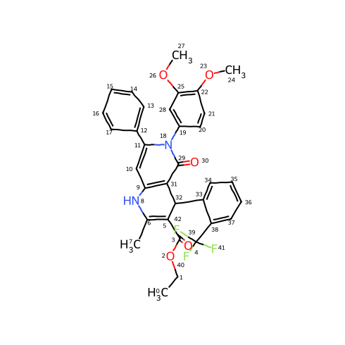 CCOC(=O)C1=C(C)Nc2cc(-c3ccccc3)n(-c3ccc(OC)c(OC)c3)c(=O)c2C1c1ccccc1C(F)(F)F